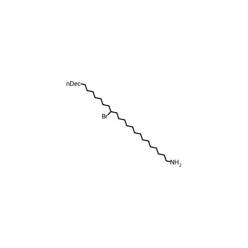 CCCCCCCCCCCCCCCCCC(Br)CCCCCCCCCCCCCCN